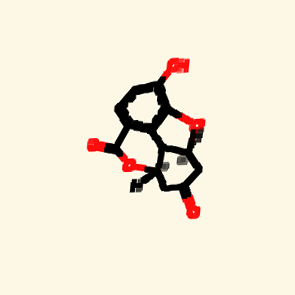 O=C1C[C@@H]2OC(=O)c3ccc(O)c4c3C2[C@H](C1)O4